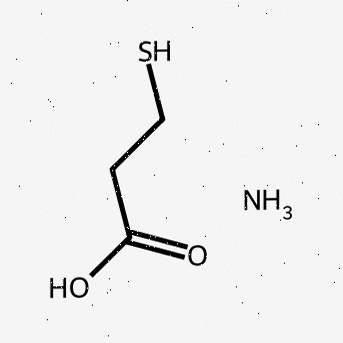 N.O=C(O)CCS